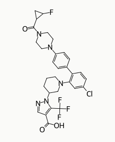 O=C(O)c1cnn(C2CCCN(c3cc(Cl)ccc3-c3ccc(N4CCN(C(=O)C5CC5F)CC4)cc3)C2)c1C(F)(F)F